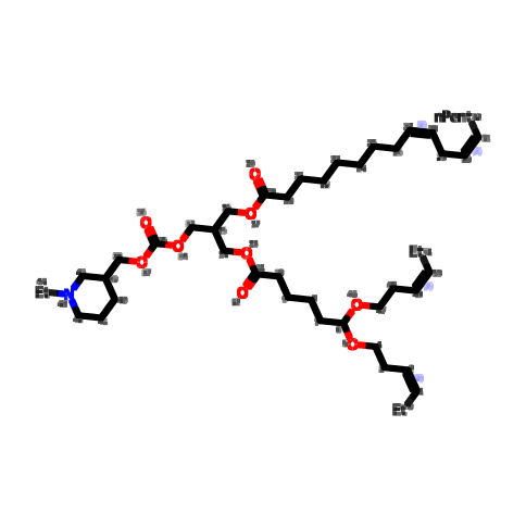 CC/C=C\CCOC(CCCCC(=O)OCC(COC(=O)CCCCCCC/C=C\C/C=C\CCCCC)COC(=O)OCC1CCCN(CC)C1)OCC/C=C\CC